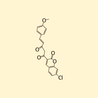 COc1ccc(/C=C/C(=O)CC(=O)c2cc3ccc(Cl)cc3oc2=O)cc1